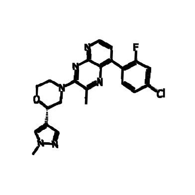 Cc1nc2c(-c3ccc(Cl)cc3F)ccnc2nc1N1CCO[C@@H](c2cnn(C)c2)C1